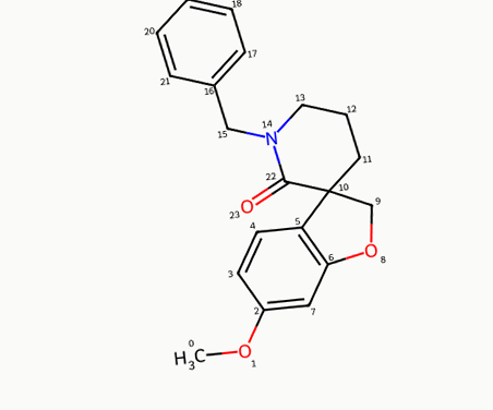 COc1ccc2c(c1)OCC21CCCN(Cc2ccccc2)C1=O